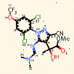 COC(=O)C(C)(O)c1c(C#N)nn(-c2c(Cl)cc(OC(F)(F)F)cc2Cl)c1N=CN(C)C